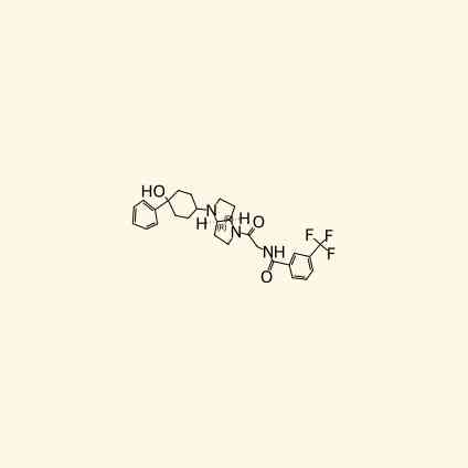 O=C(NCC(=O)N1CC[C@@H]2[C@H]1CCN2C1CCC(O)(c2ccccc2)CC1)c1cccc(C(F)(F)F)c1